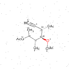 C#C[C@H](OC(C)=O)[C@@H](OOC(C)=O)C(OC(C)=O)C(C)OC(C)=O